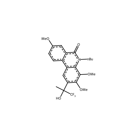 CCCCn1c(=O)c2cc(OC)ccc2c2cc(C(C)(O)C(F)(F)F)c(OC)c(OC)c21